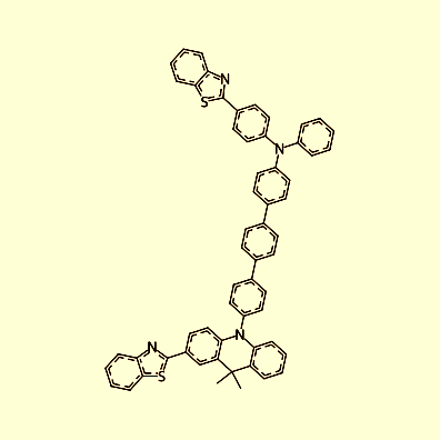 CC1(C)c2ccccc2N(c2ccc(-c3ccc(-c4ccc(N(c5ccccc5)c5ccc(-c6nc7ccccc7s6)cc5)cc4)cc3)cc2)c2ccc(-c3nc4ccccc4s3)cc21